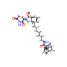 O=C1CCC(N2Cc3c(CCCCCCCNC(=O)C45CC6CC(CC(C6)C4)C5)cccc3C2=O)C(=O)N1